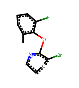 Cc1cccc(F)c1Oc1ncccc1Br